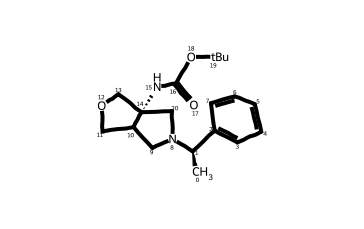 C[C@H](c1ccccc1)N1CC2COC[C@@]2(NC(=O)OC(C)(C)C)C1